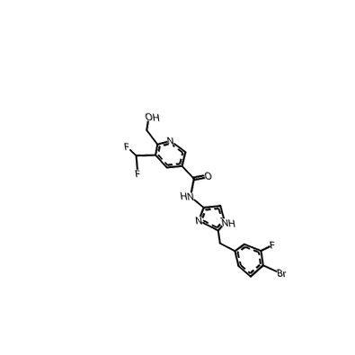 O=C(Nc1c[nH]c(Cc2ccc(Br)c(F)c2)n1)c1cnc(CO)c(C(F)F)c1